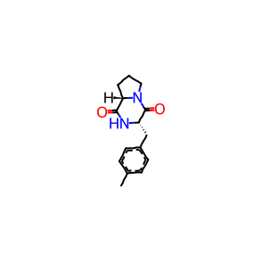 Cc1ccc(C[C@@H]2NC(=O)[C@@H]3CCCN3C2=O)cc1